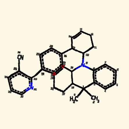 CC1(C)c2ccccc2N(C2CCC=CC2c2ccc(-c3ncccc3C#N)cc2)C2C=CCCC21